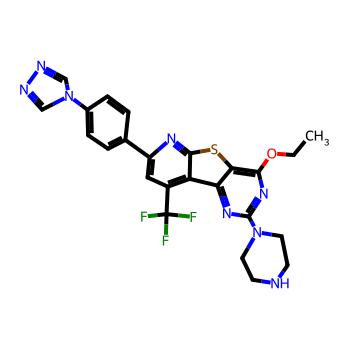 CCOc1nc(N2CCNCC2)nc2c1sc1nc(-c3ccc(-n4cnnc4)cc3)cc(C(F)(F)F)c12